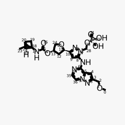 COCc1cc2c(Nc3cc([C@H]4C[C@@H](OC(=O)NC56CC(C5)[C@@H]6C)CO4)nn3COP(=O)(O)O)nccn2n1